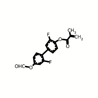 C=C(C)C(=O)Oc1ccc(-c2ccc(OC=O)cc2F)cc1F